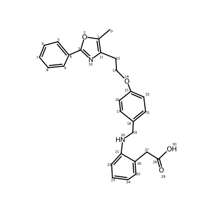 Cc1oc(-c2ccccc2)nc1CCOc1ccc(CNc2ccccc2CC(=O)O)cc1